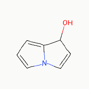 OC1C=Cn2cccc21